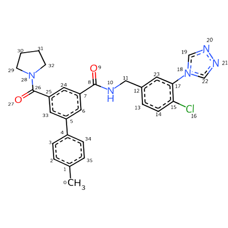 Cc1ccc(-c2cc(C(=O)NCc3ccc(Cl)c(-n4cnnc4)c3)cc(C(=O)N3CCCC3)c2)cc1